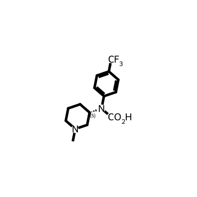 CN1CCC[C@H](N(C(=O)O)c2ccc(C(F)(F)F)cc2)C1